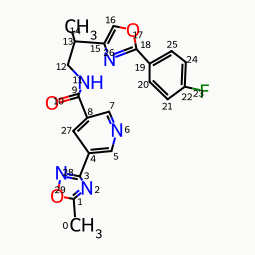 Cc1nc(-c2cncc(C(=O)NCC(C)c3coc(-c4ccc(F)cc4)n3)c2)no1